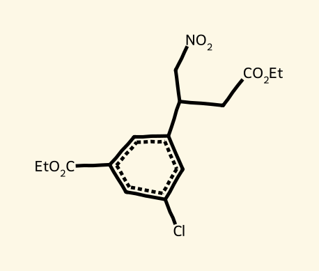 CCOC(=O)CC(C[N+](=O)[O-])c1cc(Cl)cc(C(=O)OCC)c1